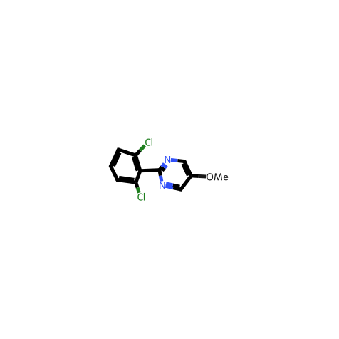 COc1cnc(-c2c(Cl)cccc2Cl)nc1